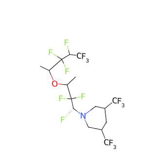 CC(OC(C)C(F)(F)[C@@H](F)N1CC(C(F)(F)F)CC(C(F)(F)F)C1)C(F)(F)C(F)C(F)(F)F